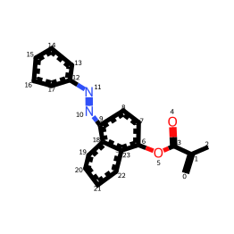 C=C(C)C(=O)Oc1ccc(N=Nc2ccccc2)c2ccccc12